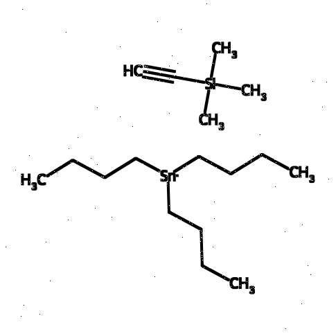 C#C[Si](C)(C)C.CCC[CH2][Sn]([CH2]CCC)[CH2]CCC